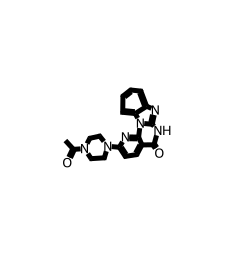 CC(=O)N1CCN(c2ccc3c(=O)[nH]c4nc5ccccc5n4c3n2)CC1